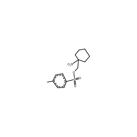 Cc1ccc(S(=O)(=O)OCC2([N+](=O)[O-])CCCCC2)cc1